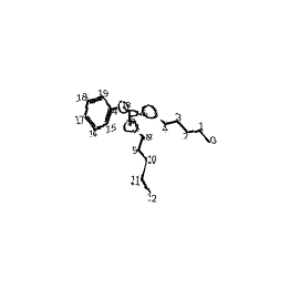 CCCCCOP(OCCCCC)Oc1ccccc1